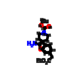 CCOC(=O)Cc1ccc(C2(C(N)=O)CCN(C(=O)OC(C)(C)C)CC2)cc1